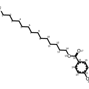 CC(C)CCCCCCCCCCCCCCOC(=O)c1ccc(O)cc1